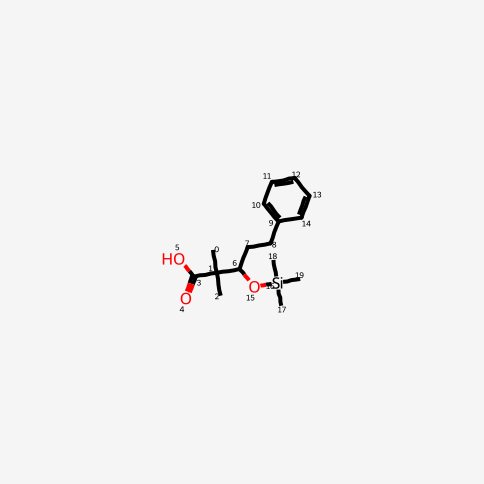 CC(C)(C(=O)O)C(CCc1ccccc1)O[Si](C)(C)C